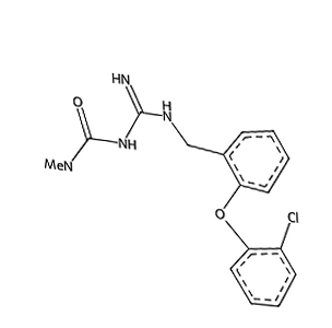 CNC(=O)NC(=N)NCc1ccccc1Oc1ccccc1Cl